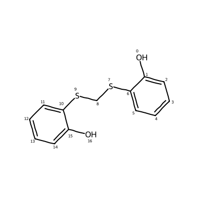 Oc1ccccc1SCSc1ccccc1O